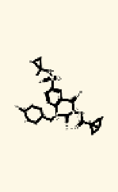 CC1(NS(=O)(=O)c2ccc3c(c2)c(=O)n(NC(=O)C24CC2C4)c(=O)n3CC2CCC(I)CC2)CC1